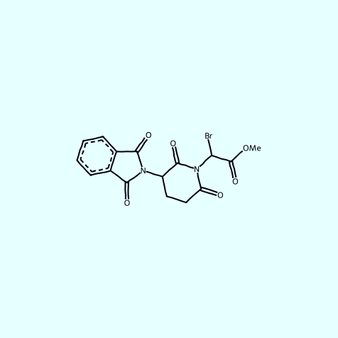 COC(=O)C(Br)N1C(=O)CCC(N2C(=O)c3ccccc3C2=O)C1=O